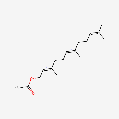 CCCCC(=O)OC/C=C(\C)CC/C=C(\C)CCC=C(C)C